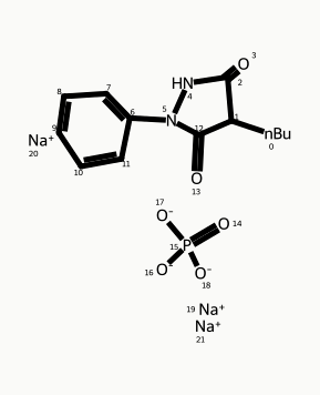 CCCCC1C(=O)NN(c2ccccc2)C1=O.O=P([O-])([O-])[O-].[Na+].[Na+].[Na+]